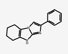 B1C2=C(CCCC2)n2cc(-c3ccccc3)nc21